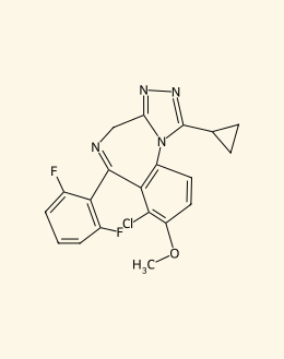 COc1ccc2c(c1Cl)C(c1c(F)cccc1F)=NCc1nnc(C3CC3)n1-2